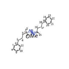 COC(C)(CCCc1ccccc1)/N=N/C(C)CCCc1ccccc1